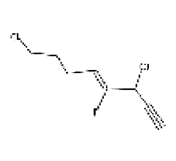 C#CC(O)C(F)=CCCCCl